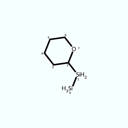 [SiH3][SiH2]C1CCCCO1